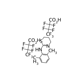 Cc1cccc(C)c1NC1=NCCCS1.O=C(O)C(F)(F)C(F)(F)C(F)(F)F.O=C(O)C(F)(F)C(F)(F)C(F)(F)F